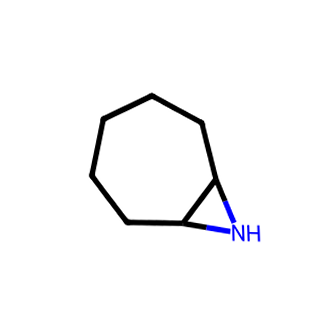 C1CCC2NC2CC1